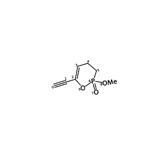 C#CC1=CCCP(=O)(OC)O1